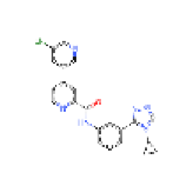 O=C(Nc1cccc(-c2nncn2C2CC2)c1)c1cc(-c2cncc(Cl)c2)ccn1